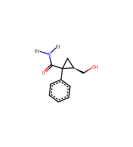 CCN(CC)C(=O)C1(c2ccccc2)C[C@H]1CO